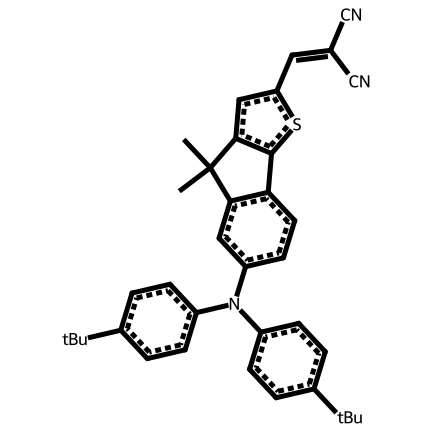 CC(C)(C)c1ccc(N(c2ccc(C(C)(C)C)cc2)c2ccc3c(c2)C(C)(C)c2cc(C=C(C#N)C#N)sc2-3)cc1